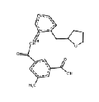 Cc1cc(C(=O)O)cc(C(=O)O)c1.N=c1ccccn1CC1CCCO1